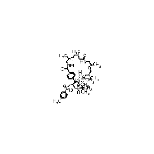 Cc1ccc(S(=O)(=O)CC(CS(=O)(=O)C(C)(C)C)C(=O)c2ccc(C(=O)NCC(C)OCC(C)CC(=O)NCC(C)OCC(C)CC(C)(C)C)cc2)cc1